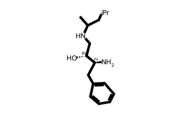 CC(C)CC(C)NC[C@@H](O)[C@@H](N)Cc1ccccc1